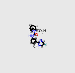 O=C(Nc1ccc(C(F)(F)F)c(-c2ncc(F)cn2)c1)N1C2CCCCC1(C(=O)O)C2